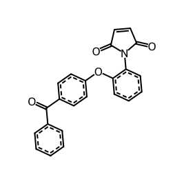 O=C(c1ccccc1)c1ccc(Oc2ccccc2N2C(=O)C=CC2=O)cc1